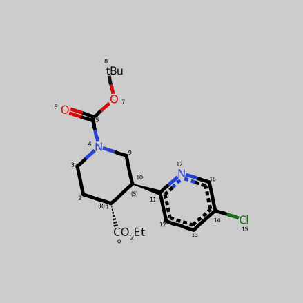 CCOC(=O)[C@@H]1CCN(C(=O)OC(C)(C)C)C[C@H]1c1ccc(Cl)cn1